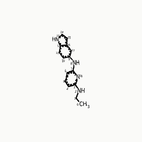 CCNc1cccc(Nc2ccc3[nH]ccc3c2)n1